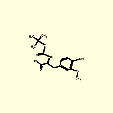 COc1cc(CC(NC(=O)OC(C)(C)C)C(=O)O)ccc1O